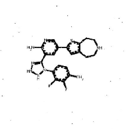 Cc1ccc(N2NNN=C2c2cc(-c3cc4c(s3)CCNCC4)cnc2N)c(F)c1F